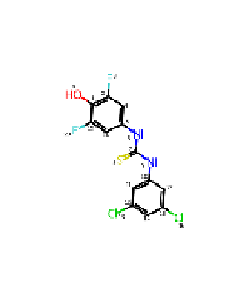 Oc1c(F)cc(NC(=S)Nc2cc(Cl)cc(Cl)c2)cc1F